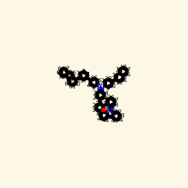 c1cc(-c2ccc(N(c3ccc(-c4ccc5ccccc5c4)cc3)c3ccc(-c4ccccc4-c4ccccc4-n4c5ccccc5c5ccccc54)cc3)cc2)cc(-c2cccc3c2Cc2ccccc2-3)c1